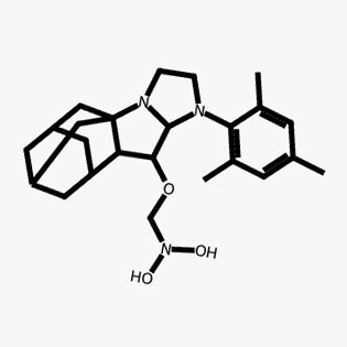 Cc1cc(C)c(N2CCN3C2C(OCN(O)O)C2C4CC5CC(C4)CC23C5)c(C)c1